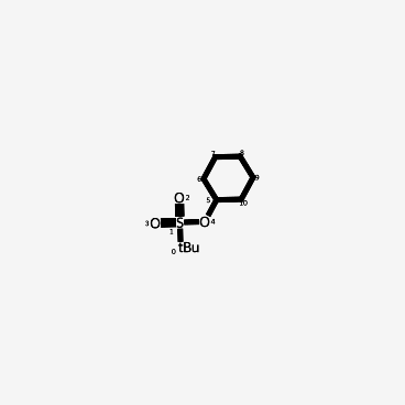 CC(C)(C)S(=O)(=O)OC1CCCCC1